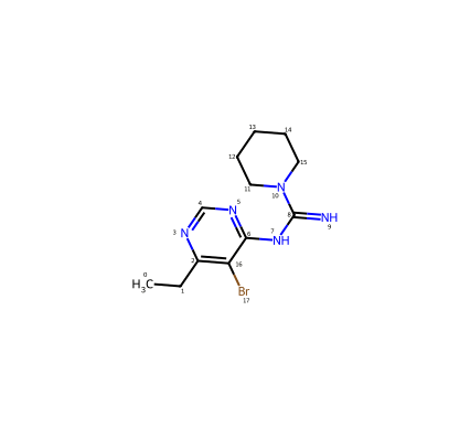 CCc1ncnc(NC(=N)N2CCCCC2)c1Br